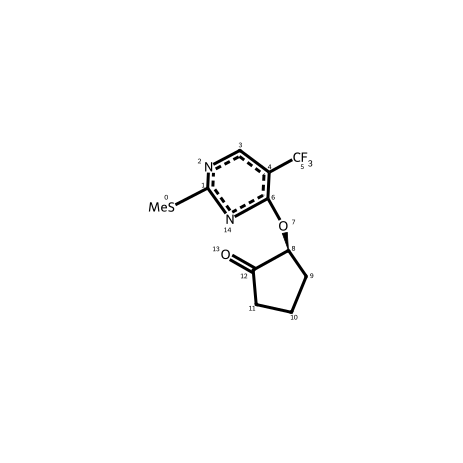 CSc1ncc(C(F)(F)F)c(O[C@H]2CCCC2=O)n1